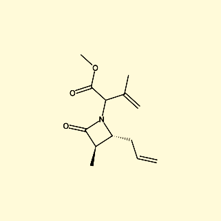 C=CC[C@@H]1[C@@H](C)C(=O)N1C(C(=C)C)C(=O)OC